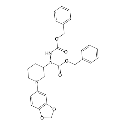 O=C(NN(C(=O)OCc1ccccc1)C1CCCN(c2ccc3c(c2)OCO3)C1)OCc1ccccc1